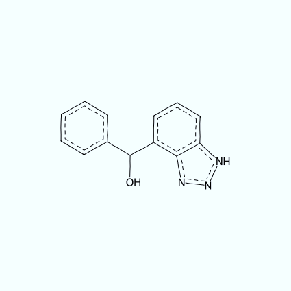 OC(c1ccccc1)c1cccc2[nH]nnc12